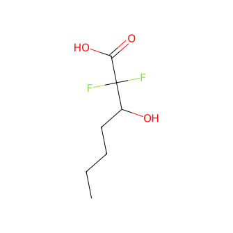 CCCCC(O)C(F)(F)C(=O)O